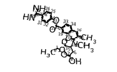 CCOC(=O)C(CC(=O)O)N(C)C(=O)C(C)=Cc1ccc(C(=O)Oc2ccc(C(=N)N)cc2)cc1